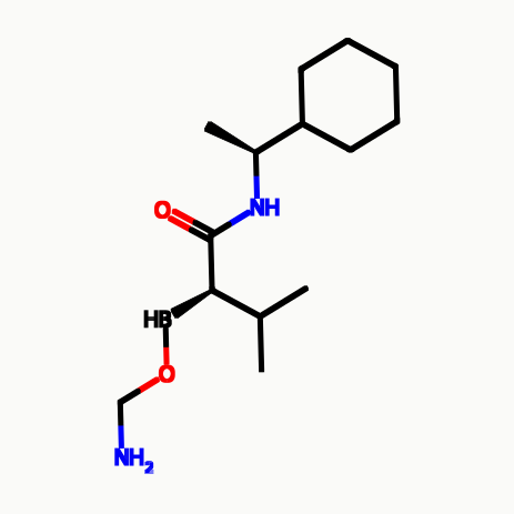 CC(C)[C@@H](BOCN)C(=O)N[C@@H](C)C1CCCCC1